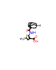 Cc1cc(C(=O)O)c(NC(=O)C23CC4CC2C[C@@H](C4)C3)s1